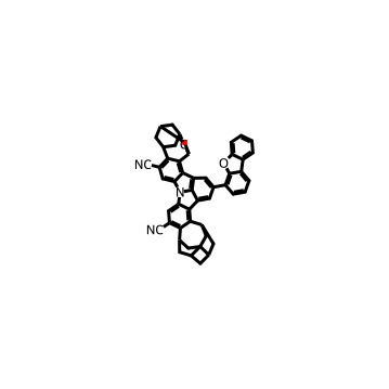 N#Cc1cc2c(c3c1C1CC4CC(C1)CC3C4)c1cc(-c3cccc4c3oc3ccccc34)cc3c4c5c(c(C#N)cc4n2c13)C1CC2CC3CC5CC23C1